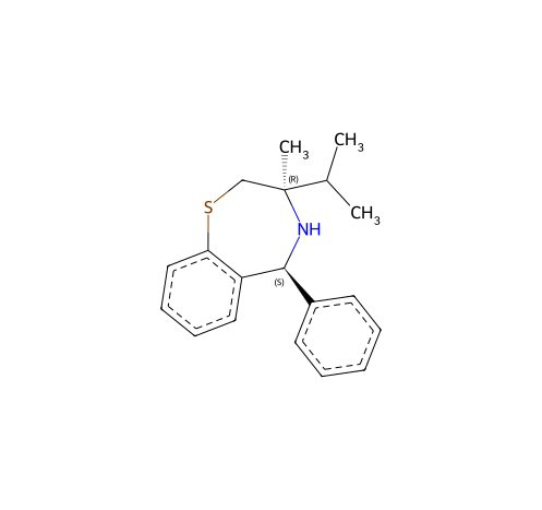 CC(C)[C@]1(C)CSc2ccccc2[C@H](c2ccccc2)N1